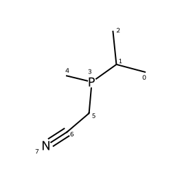 CC(C)P(C)CC#N